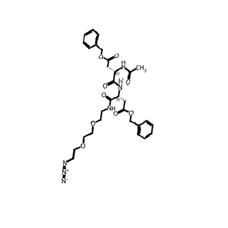 CC(=O)N[C@@H](CC(=O)OCc1ccccc1)C(=O)N[C@H](CC(=O)OCc1ccccc1)C(=O)NCCOCCOCCN=[N+]=[N-]